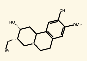 COc1cc2c(cc1O)C1C[C@@H](O)[C@@H](CC(C)C)CN1CC2